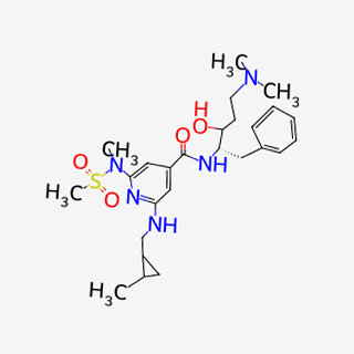 CC1CC1CNc1cc(C(=O)N[C@@H](Cc2ccccc2)C(O)CCN(C)C)cc(N(C)S(C)(=O)=O)n1